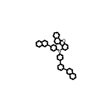 c1cc(-c2ccc(N(c3ccc(-c4ccc5ccccc5c4)cc3)c3cccc4oc5c6ccccc6ccc5c34)cc2)cc(-c2ccc3ccccc3c2)c1